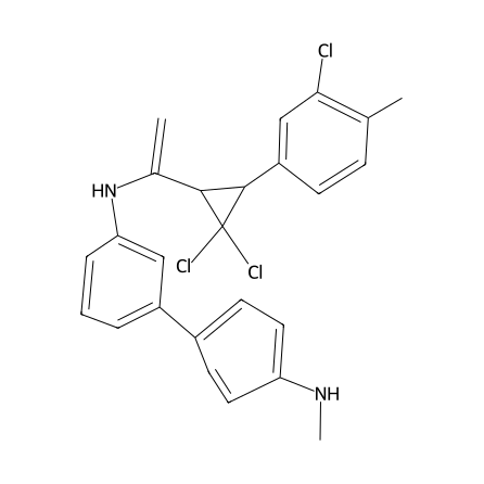 C=C(Nc1cccc(-c2ccc(NC)cc2)c1)C1C(c2ccc(C)c(Cl)c2)C1(Cl)Cl